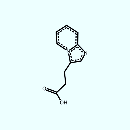 O=C(O)CCc1cnc2ccccn12